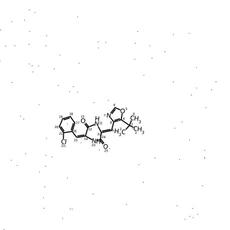 CC(C)(C)c1ocnc1C=c1[nH]c(=O)c(=Cc2ccccc2Cl)[nH]c1=O